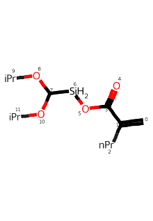 C=C(CCC)C(=O)O[SiH2]C(OC(C)C)OC(C)C